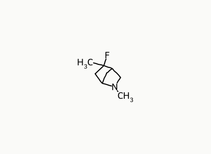 CN1CC2CC1CC2(C)F